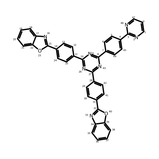 c1cnc(-c2ccc(-c3nc(-c4ccc(-c5nc6ccccc6o5)cc4)nc(-c4ccc(-c5nc6ccccc6o5)cc4)n3)cc2)nc1